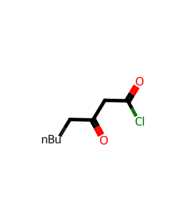 CCCCCC(=O)CC(=O)Cl